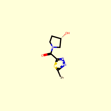 CC(C)c1nnc(C(=O)N2CC[C@H](O)C2)s1